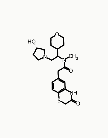 CN(C(=O)Cc1ccc2c(c1)NC(=O)CS2)C(CN1CC[C@H](O)C1)C1CCOCC1